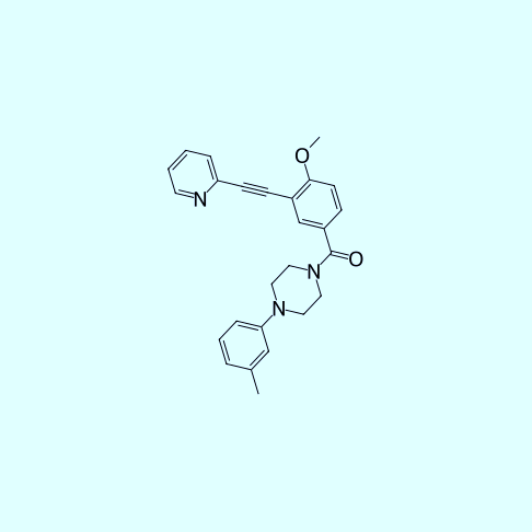 COc1ccc(C(=O)N2CCN(c3cccc(C)c3)CC2)cc1C#Cc1ccccn1